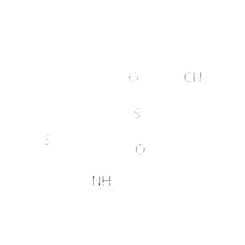 Cc1csc(N)c1S(=O)(=O)CC#N